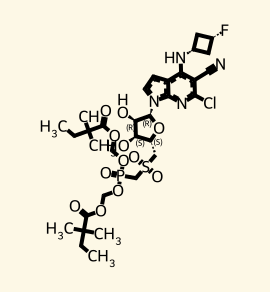 CCC(C)(C)C(=O)OCOP(=O)(CS(=O)(=O)C[C@H]1O[C@@H](n2ccc3c(N[C@H]4C[C@@H](F)C4)c(C#N)c(Cl)nc32)[C@H](O)[C@@H]1O)OCOC(=O)C(C)(C)CC